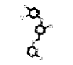 N#Cc1cc(COc2ccnc(Cl)n2)ccc1Oc1ccc(Cl)c(C(F)(F)F)c1